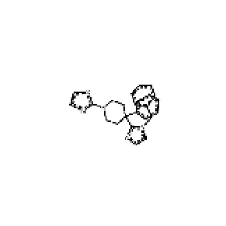 c1ccc(Cn2ccnc2C2(c3ccccc3)CCN(c3nccs3)CC2)cc1